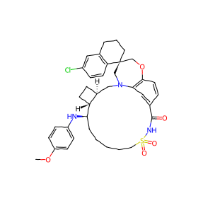 COc1ccc(N[C@@H]2CCCCCS(=O)(=O)NC(=O)c3ccc4c(c3)N(C[C@@H]3CC[C@H]32)C[C@@]2(CCCc3cc(Cl)ccc32)CO4)cc1